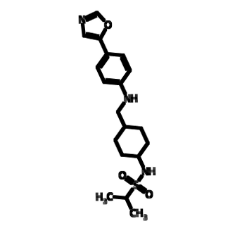 CC(C)S(=O)(=O)NC1CCC(CNc2ccc(-c3cnco3)cc2)CC1